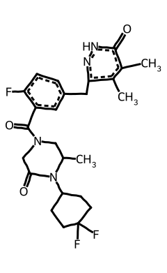 Cc1c(Cc2ccc(F)c(C(=O)N3CC(=O)N(C4CCC(F)(F)CC4)C(C)C3)c2)n[nH]c(=O)c1C